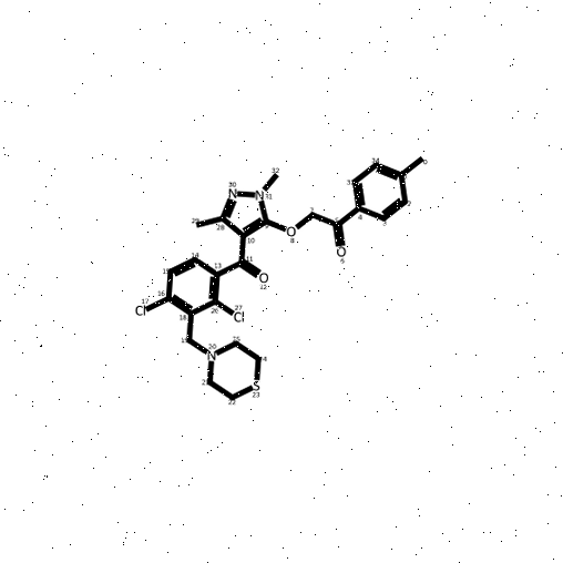 Cc1ccc(C(=O)COc2c(C(=O)c3ccc(Cl)c(CN4CCSCC4)c3Cl)c(C)nn2C)cc1